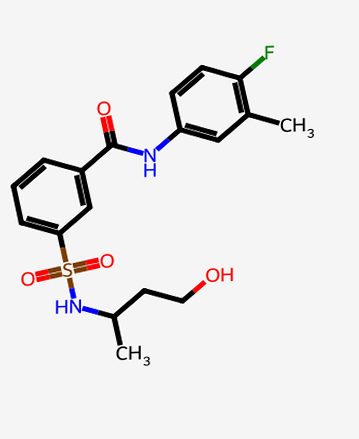 Cc1cc(NC(=O)c2cccc(S(=O)(=O)NC(C)CCO)c2)ccc1F